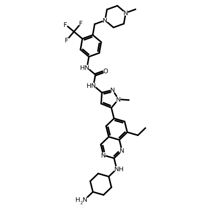 CCc1cc(-c2cc(NC(=O)Nc3ccc(CN4CCN(C)CC4)c(C(F)(F)F)c3)nn2C)cc2cnc(NC3CCC(N)CC3)nc12